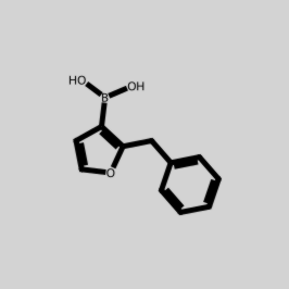 OB(O)c1ccoc1Cc1ccccc1